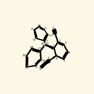 [C]#CC1=CC=CC(C#[C])C1=[Si](c1ccccc1)c1ccccc1